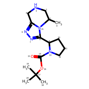 CC1CNCc2nnc(C3CCCN3C(=O)OC(C)(C)C)n21